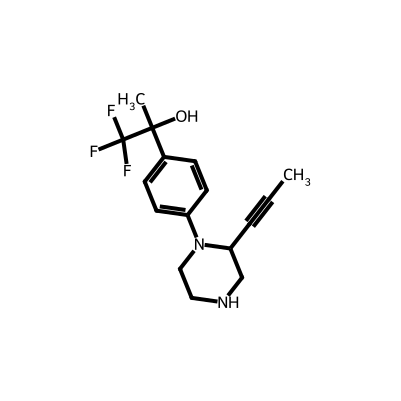 CC#CC1CNCCN1c1ccc(C(C)(O)C(F)(F)F)cc1